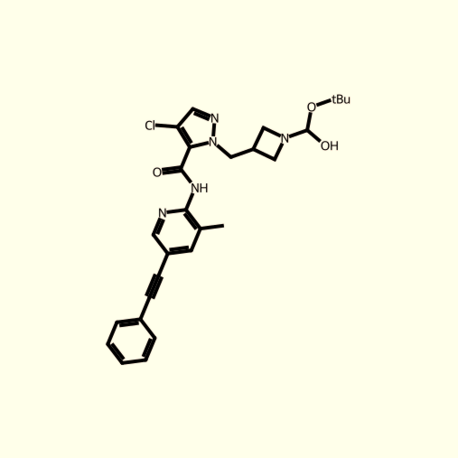 Cc1cc(C#Cc2ccccc2)cnc1NC(=O)c1c(Cl)cnn1CC1CN(C(O)OC(C)(C)C)C1